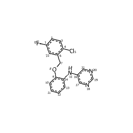 Fc1ccc(Cl)c(COc2ccccc2Nc2cncnc2)c1